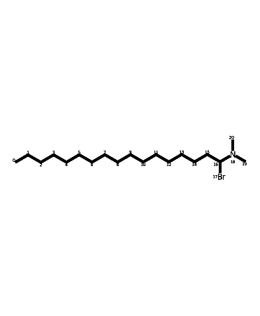 CCCCCCCCCCCCCCCCC(Br)N(C)C